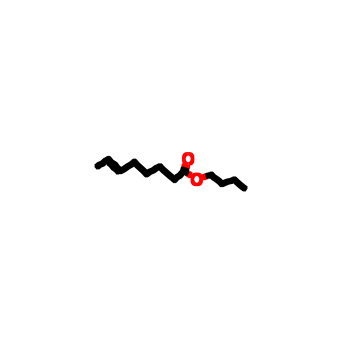 CC=CCCCCC(=O)OCCCC